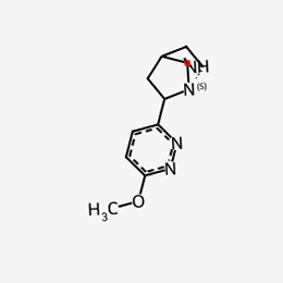 COc1ccc(C2CC3CC[N@@]2C32CCNC2)nn1